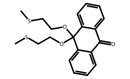 CSCCOC1(OCCSC)c2ccccc2C(=O)c2ccccc21